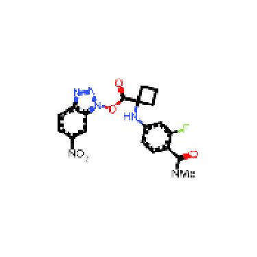 CNC(=O)c1ccc(NC2(C(=O)On3nnc4ccc([N+](=O)[O-])cc43)CCC2)cc1F